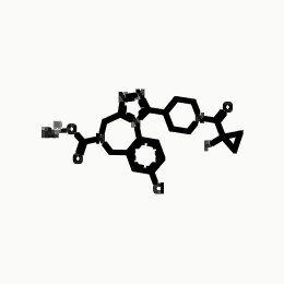 CC[C@@H](C)OC(=O)N1Cc2cc(Cl)ccc2-n2c(nnc2C2CCN(C(=O)C3(F)CC3)CC2)C1